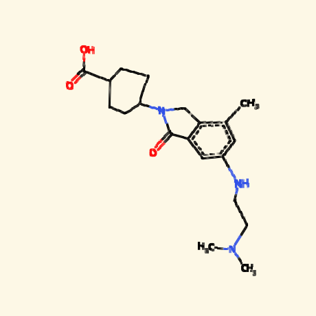 Cc1cc(NCCN(C)C)cc2c1CN(C1CCC(C(=O)O)CC1)C2=O